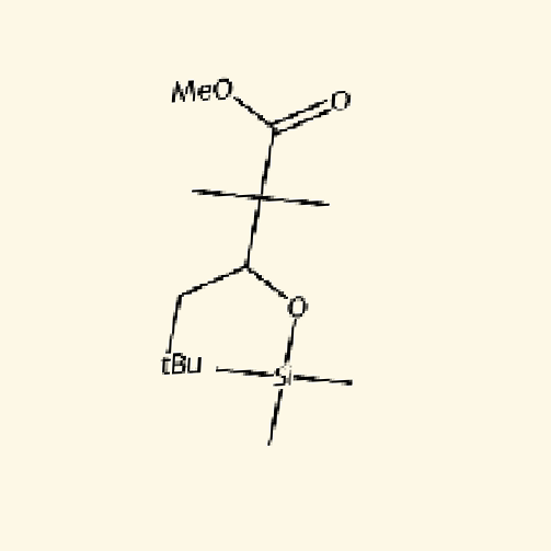 COC(=O)C(C)(C)C(CC(C)(C)C)O[Si](C)(C)C